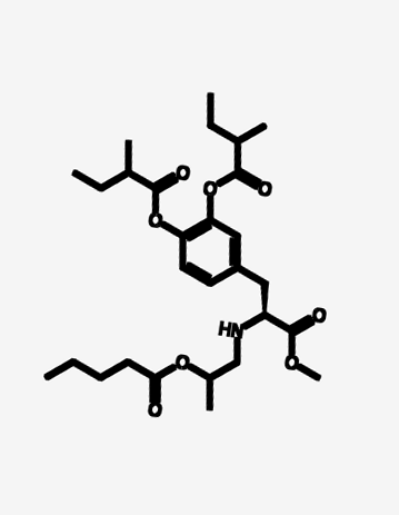 CCCCC(=O)OC(C)CN[C@@H](Cc1ccc(OC(=O)C(C)CC)c(OC(=O)C(C)CC)c1)C(=O)OC